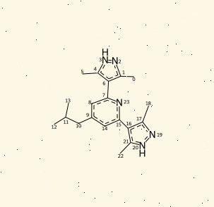 Cc1n[nH]c(C)c1-c1cc(CC(C)C)cc(-c2c(C)n[nH]c2C)n1